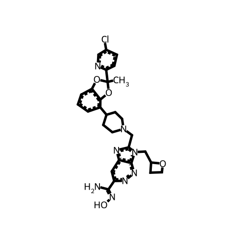 CC1(c2ccc(Cl)cn2)Oc2cccc(C3CCN(Cc4nc5cc(C(N)=NO)nnc5n4CC4CCO4)CC3)c2O1